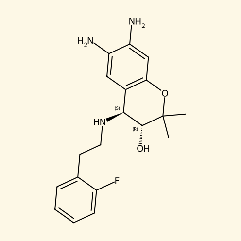 CC1(C)Oc2cc(N)c(N)cc2[C@H](NCCc2ccccc2F)[C@H]1O